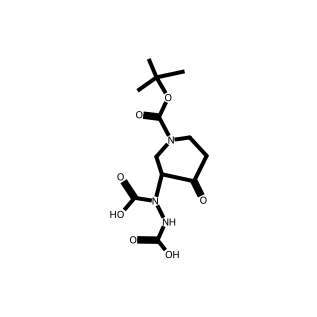 CC(C)(C)OC(=O)N1CCC(=O)C(N(NC(=O)O)C(=O)O)C1